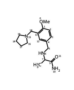 COc1ccc(CNC(C)C(N)=O)cc1CN1CCCC1